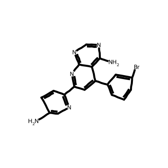 Nc1ccc(-c2cc(-c3cccc(Br)c3)c3c(N)ncnc3n2)nc1